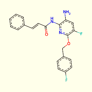 Nc1cc(F)c(OCc2ccc(F)cc2)nc1NC(=O)C=Cc1ccccc1